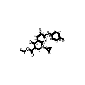 CCOC(=O)C1CN(C2CC2)c2nc(Sc3ccc(C)cc3)c(F)cc2C1=O